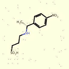 C[C@@H](NCCCS(=O)(=O)O)c1ccc([N+](=O)[O-])cc1